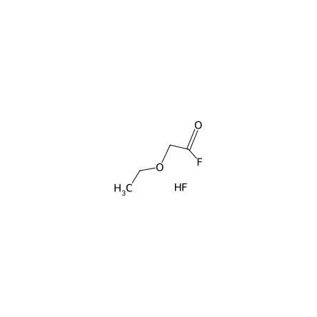 CCOCC(=O)F.F